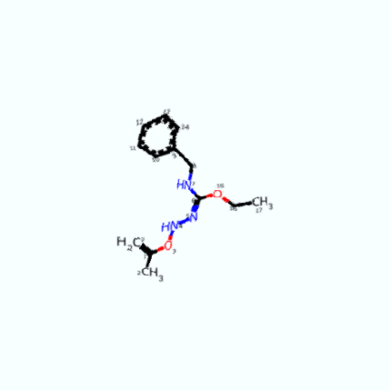 C=C(C)ON/N=C(\NCc1ccccc1)OCC